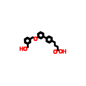 O=C(O)CCCc1ccc(-c2cccc(OCc3cccc(CO)c3)c2)cc1